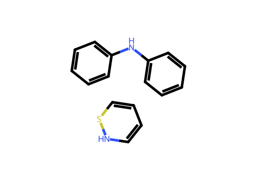 C1=CNSC=C1.c1ccc(Nc2ccccc2)cc1